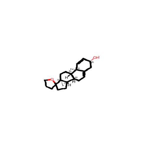 C[C@]12C=C[C@H](O)CC1=CC[C@@H]1[C@@H]2CC[C@@]2(C)[C@H]1CCC21CCCO1